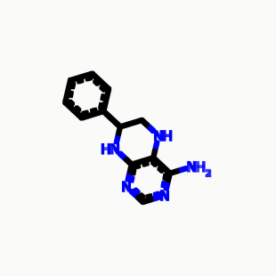 Nc1ncnc2c1NCC(c1ccccc1)N2